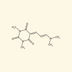 CN(C)C=CC=C1C(=O)N(C)C(=O)N(C)C1=O